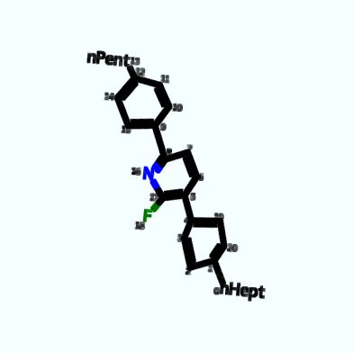 CCCCCCCc1ccc(-c2ccc(-c3ccc(CCCCC)cc3)nc2F)cc1